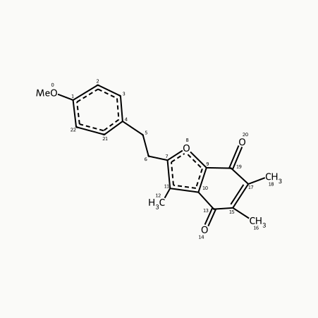 COc1ccc(CCc2oc3c(c2C)C(=O)C(C)=C(C)C3=O)cc1